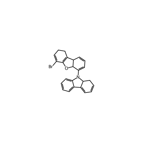 BrC1=CCCC2=C1OC1C(N3c4ccccc4C4=CC=CCC43)=CC=CC21